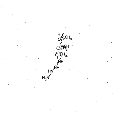 C#C[C@H](CCC(=O)N(CC)CC)[C@H]1CCC2C3CCC4C[C@@H](NCCCNCCNCCCN)CC[C@]4(C)C3CC[C@@]21C